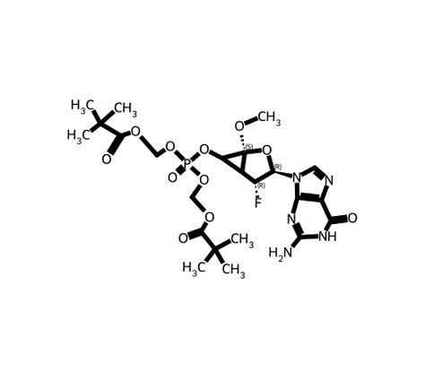 CO[C@]12O[C@@H](n3cnc4c(=O)[nH]c(N)nc43)[C@H](F)C1C2OP(=O)(OCOC(=O)C(C)(C)C)OCOC(=O)C(C)(C)C